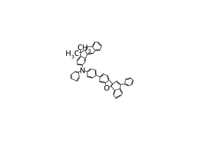 CC1(C)c2ccc(N(c3ccccc3)c3ccc(-c4ccc5c(c4)oc4c6ccccc6c(-c6ccccc6)cc54)cc3)cc2-c2cc3ccccc3cc21